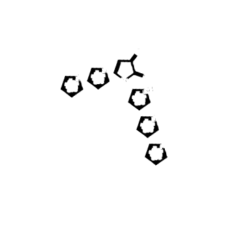 O=C1C=CNC1=O.c1cc[nH]c1.c1ccsc1.c1ccsc1.c1ccsc1.c1ccsc1